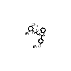 CC(C)[C@@H]1CC[C@@H](C)C[C@H]1OC(=O)Cn1c(-c2ccc(OC(C)(C)C)cc2)nc2ccccc21